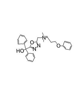 C[N+](C)(CCCOc1ccccc1)Cc1nnc(C(O)(c2ccccc2)c2ccccc2)o1